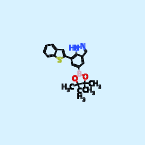 CC1(C)OB(c2cc(-c3cc4ccccc4s3)c3[nH]ncc3c2)OC1(C)C